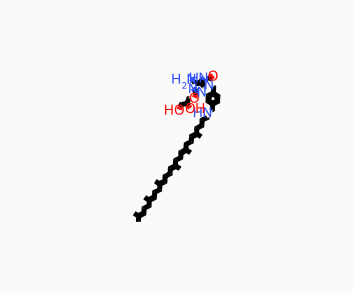 CC(C)=CCC/C(C)=C/CC/C(C)=C/CC/C=C(\C)CC/C=C(\C)CC/C=C(\C)CCCCNCc1ccc(Cn2c(=O)[nH]c3c(N)nc(OCC(O)CO)nc32)cc1